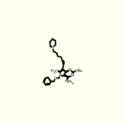 CCCCc1nc(N)c2c(n1)c(C#CCCCCN1CCCCC1)c(C)n2COCc1ccccc1